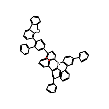 c1ccc(-c2ccc(N(c3ccc(-c4ccc(-c5cccc6c5oc5ccccc56)c(-c5ccccc5)c4)cc3)c3ccc(-c4ccccc4)cc3-c3ccccc3)c(-c3ccccc3)c2)cc1